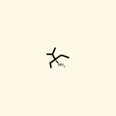 [CH2]C[C@@](N)(CC)C(C)C